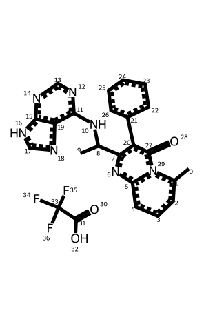 Cc1cccc2nc(C(C)Nc3ncnc4[nH]cnc34)c(-c3ccccc3)c(=O)n12.O=C(O)C(F)(F)F